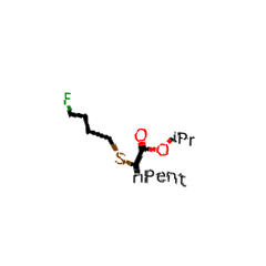 CCCCCC(SCCCCF)C(=O)OC(C)C